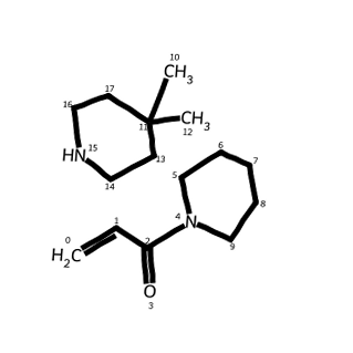 C=CC(=O)N1CCCCC1.CC1(C)CCNCC1